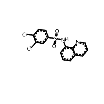 O=S(=O)(Nc1cccc2cccnc12)c1ccc(Cl)c(Cl)c1